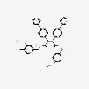 COc1cc([C@@H](C)NC(=O)C(c2ccc(-c3ccsc3)cc2)C(C(=O)N[C@H](C)c2ccc(OCC(F)(F)F)cn2)c2ccc(-c3ccn[nH]3)cc2)ncc1Cl